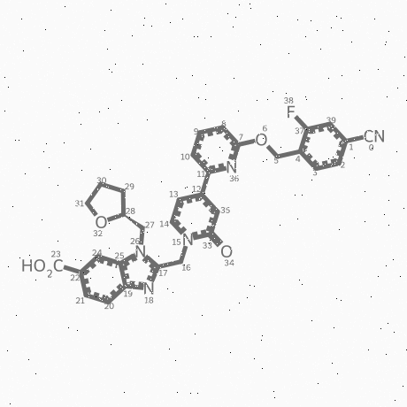 N#Cc1ccc(COc2cccc(-c3ccn(Cc4nc5ccc(C(=O)O)cc5n4C[C@@H]4CCCO4)c(=O)c3)n2)c(F)c1